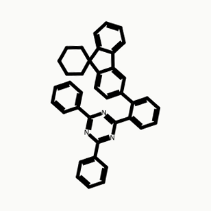 c1ccc(-c2nc(-c3ccccc3)nc(-c3ccccc3-c3ccc4c(c3)-c3ccccc3C43CCCCC3)n2)cc1